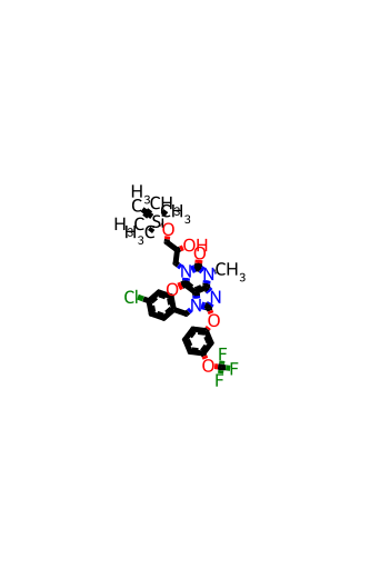 Cn1c(=O)n(CC(O)CO[Si](C)(C)C(C)(C)C)c(=O)c2c1nc(Oc1cccc(OC(F)(F)F)c1)n2Cc1ccc(Cl)cc1